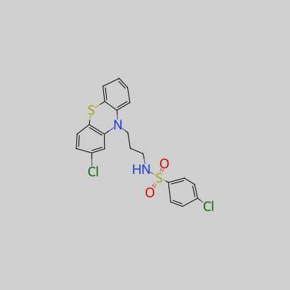 O=S(=O)(NCCCN1c2ccccc2Sc2ccc(Cl)cc21)c1ccc(Cl)cc1